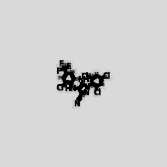 N#Cc1nn(-c2c(Cl)cc(Cl)cc2Cl)c(N)c1Nc1ccc(C(F)(F)F)cc1Cl